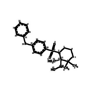 CC1(C)SCCN(S(=O)(=O)c2ccc(Sc3ccncc3)cc2)[C@@]1(NO)C(=O)O